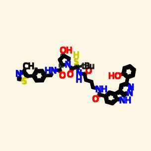 Cc1ncsc1-c1ccc(CNC(=O)[C@@H]2C[C@@H](O)CN2C(=O)[C@](S)(NC(=O)CCCNC(=O)c2ccc3[nH]c4nnc(-c5ccccc5O)cc4c3c2)C(C)(C)C)cc1